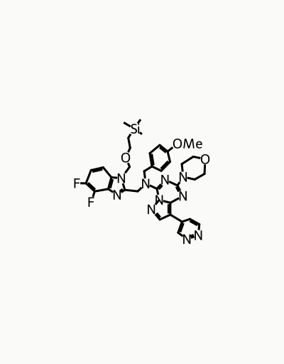 COc1ccc(CN(Cc2nc3c(F)c(F)ccc3n2COCC[Si](C)(C)C)c2nc(N3CCOCC3)nc3c(-c4ccnnc4)cnn23)cc1